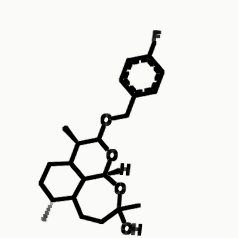 C[C@H]1C(OCc2ccc(F)cc2)O[C@@H]2OC(C)(O)CCC3C2C1CC[C@H]3C